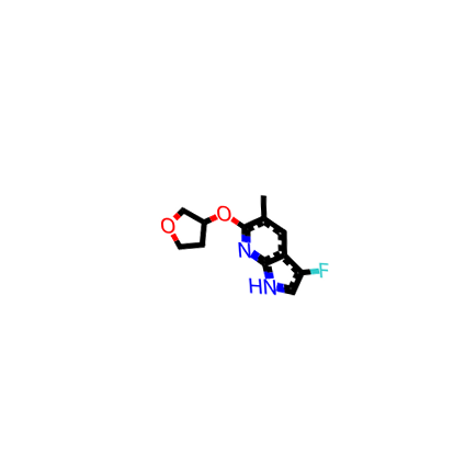 Cc1cc2c(F)c[nH]c2nc1OC1CCOC1